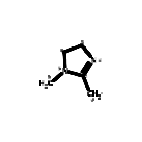 [CH2]C1=NCCN1C